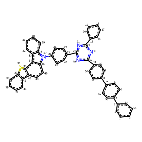 c1ccc(-c2ccc(-c3ccc(-c4nc(-c5ccccc5)nc(-c5ccc(-n6c7ccccc7c7c8sc9ccccc9c8ccc76)cc5)n4)cc3)cc2)cc1